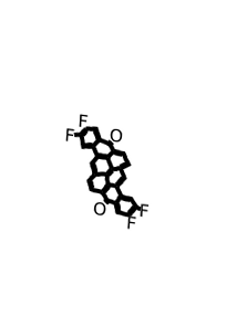 O=c1c2cc(F)c(F)cc2c2cc3ccc4c(=O)c5cc(F)c(F)cc5c5cc6ccc1c2c6c3c45